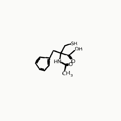 CC(=O)NC(CS)(Cc1ccccc1)C(=O)O